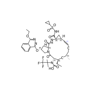 CCOc1nnc(O[C@@H]2C[C@H]3C(=O)N[C@]4(C(=O)NS(=O)(=O)C5CC5)C[C@H]4/C=C\CC[C@H](C)C[C@@H](CC)[C@H](N(C(=O)O)C(C)(C)C(F)(F)F)C(=O)N3C2)c2ccccc12